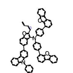 C=C/C=C\c1oc2ccc(-c3ccc4c(c3)c3ccccc3n4-c3ccccc3)cc2c1N(c1ccc(-c2cccc3c2oc2ccccc23)cc1)c1ccc(-c2cccc3c2oc2ccccc23)cc1